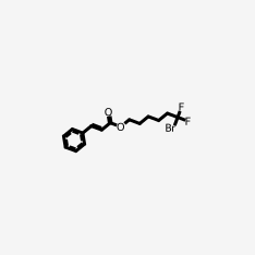 O=C(/C=C/c1ccccc1)OCCCCCC(F)(F)Br